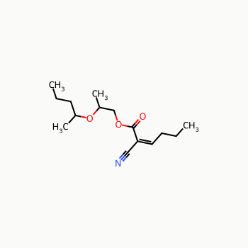 CCCC=C(C#N)C(=O)OCC(C)OC(C)CCC